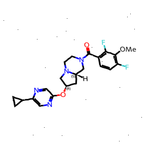 COc1c(F)ccc(C(=O)N2CCN3C[C@H](Oc4cnc(C5CC5)cn4)C[C@H]3C2)c1F